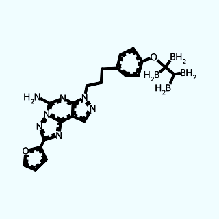 BC(B)C(B)(B)Oc1ccc(CCCn2ncc3c2nc(N)n2nc(-c4ccco4)nc32)cc1